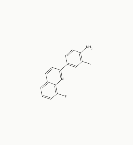 Cc1cc(-c2ccc3cccc(F)c3n2)ccc1N